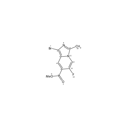 COC(=O)c1cc2c(Br)nc(C)n2cc1F